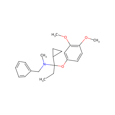 CCC(Oc1ccc(OC)c(OC)c1)(C1CC1)N(C)Cc1ccccc1